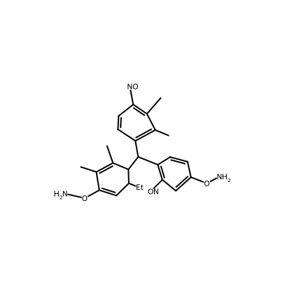 CCC1C=C(ON)C(C)=C(C)C1C(c1ccc(ON)cc1N=O)c1ccc(N=O)c(C)c1C